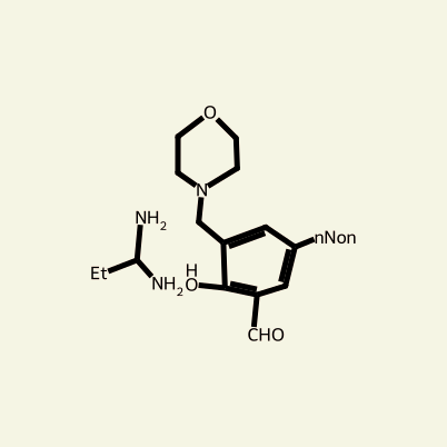 CCC(N)N.CCCCCCCCCc1cc(C=O)c(O)c(CN2CCOCC2)c1